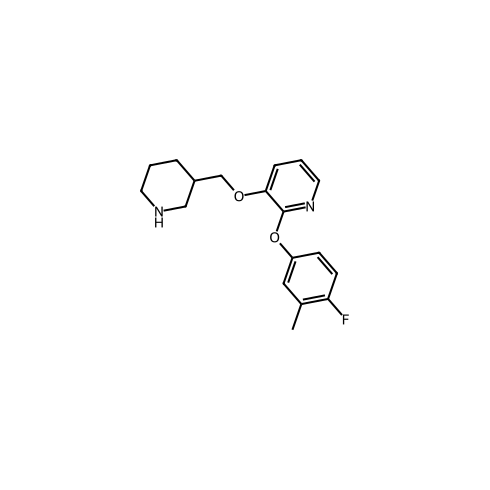 Cc1cc(Oc2ncccc2OCC2CCCNC2)ccc1F